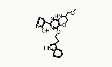 COCC1COc2c(nc(-c3cccnc3O)nc2OCCc2c[nH]c3ccccc23)N1